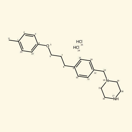 Cc1ccc(OCCCc2ccc(CN3CCNCC3)cc2)cc1.Cl.Cl